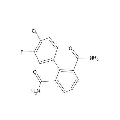 NC(=O)c1cccc(C(N)=O)c1-c1ccc(Cl)c(F)c1